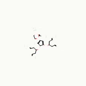 C=CCC(CC=C)OC1=CC=[C]([Ti+3])[C@@H]1OC(CC=C)CC=C.CC1(C)OCCO1.[Cl-].[Cl-].[Cl-]